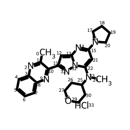 Cc1nc2ccccc2nc1-c1cc2nc(N3CCCC3)cc(N(C)C3CCOCC3)n2n1.Cl